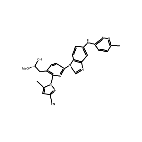 CO[C@H](O)Cc1ccc(-n2cnc3cc(Nc4ccc(C)nn4)ccc32)nc1-n1nc(C#N)cc1C